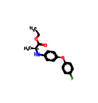 CCOC(=O)[C@H](C)Nc1ccc(Oc2ccc(F)cc2)cc1